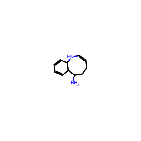 NC1CC/C=C\NC2C=CC=CC12